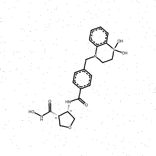 O=C(N[C@@H]1COC[C@@H]1C(=O)NO)c1ccc(CN2CCS(O)(O)c3ccccc32)cc1